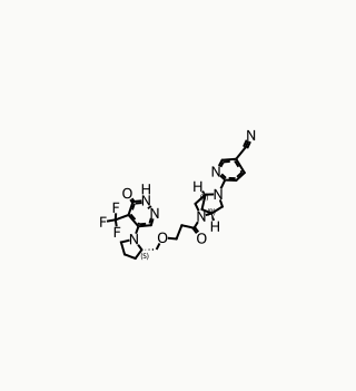 N#Cc1ccc(N2C[C@H]3C[C@@H]2CN3C(=O)CCOC[C@@H]2CCCN2c2cn[nH]c(=O)c2C(F)(F)F)nc1